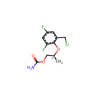 C[C@@H](COC(N)=O)Oc1c(F)cc(F)cc1CCl